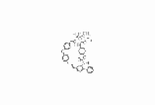 CC(C)(C)OC(=O)N[C@H]1CC[C@H](OC(=O)Nc2cc(C=CCc3ccc(Oc4ccc(C=O)cc4)cc3)ccc2-c2ccccc2)CC1